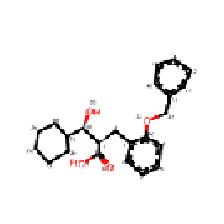 O=C(O)[C@H](Cc1ccccc1OCc1ccccc1)[C@H](O)C1CCCCC1